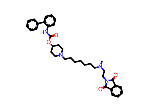 CN(CCCCCCCN1CCC(OC(=O)Nc2ccccc2-c2ccccc2)CC1)CCN1C(=O)c2ccccc2C1=O